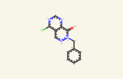 O=c1c2ncnc(Cl)c2cnn1Cc1ccccc1